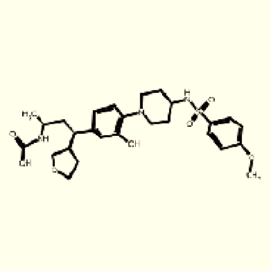 COc1ccc(S(=O)(=O)NC2CCN(c3ccc([C@H](C[C@H](C)NC(=O)O)C4CCOC4)cc3O)CC2)cc1